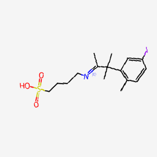 C/C(=N\CCCCS(=O)(=O)O)C(C)(C)c1cc(I)ccc1C